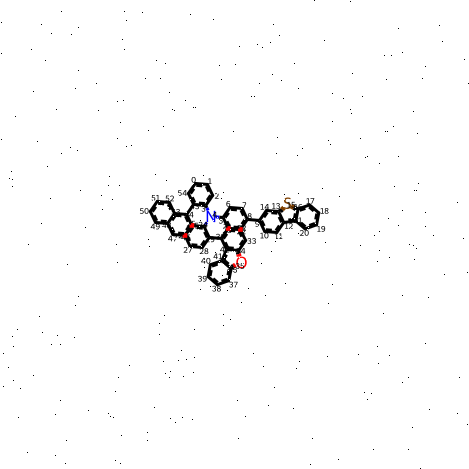 c1ccc(N(c2ccc(-c3ccc4c(c3)sc3ccccc34)cc2)c2ccccc2-c2cccc3oc4ccccc4c23)c(-c2cccc3ccccc23)c1